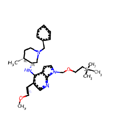 CO/C=C/c1cnc2c(ccn2COCC[Si](C)(C)C)c1N[C@H]1CN(Cc2ccccc2)CC[C@H]1C